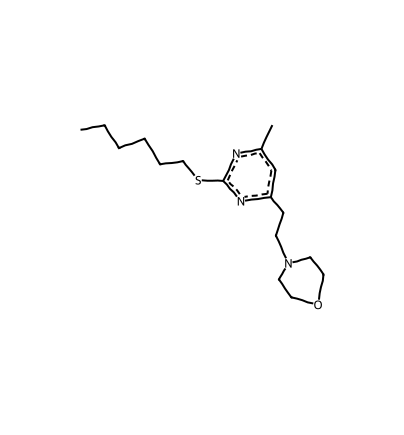 CCCCCCSc1nc(C)cc(CCN2CCOCC2)n1